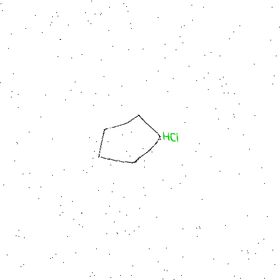 Cl.[CH]1CCCC1